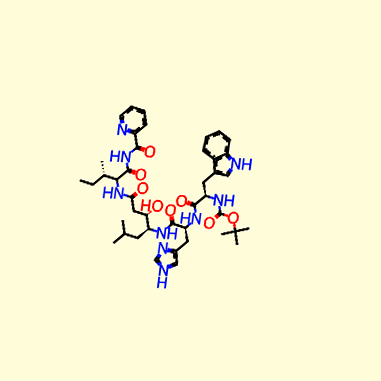 CC[C@H](C)[C@H](NC(=O)C[C@H](O)[C@H](CC(C)C)NC(=O)[C@H](Cc1c[nH]cn1)NC(=O)[C@@H](Cc1c[nH]c2ccccc12)NC(=O)OC(C)(C)C)C(=O)NC(=O)c1ccccn1